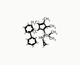 CC1=C(C)C(C)[C]([Ti]([NH]C2CC2)[SiH](C)C)=C1C.c1ccc(-c2ccccc2)cc1